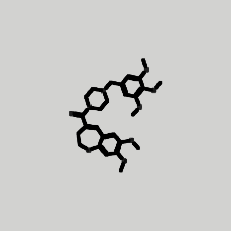 COc1cc2c(cc1OC)OCCC(C(=O)N1CCN(Cc3cc(OC)c(OC)c(OC)c3)CC1)=C2